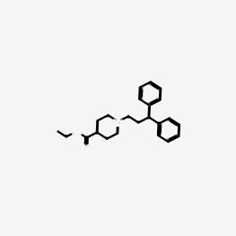 CCOC(=O)C1CCN(CCC(c2ccccc2)c2ccccc2)CC1